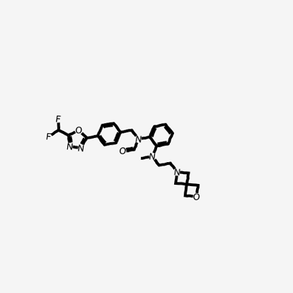 CN(CCN1CC2(COC2)C1)c1ccccc1N(C=O)Cc1ccc(-c2nnc(C(F)F)o2)cc1